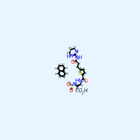 O=C(CCc1ccc(C(=O)NC[C@H](N=S(=O)=O)C(=O)O)s1)NC1=NCCCN1.c1ccc2ccccc2c1